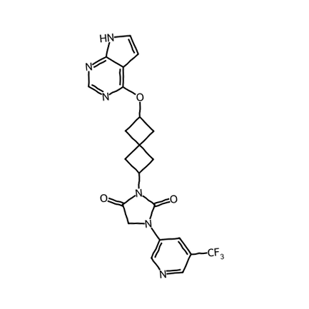 O=C1CN(c2cncc(C(F)(F)F)c2)C(=O)N1C1CC2(CC(Oc3ncnc4[nH]ccc34)C2)C1